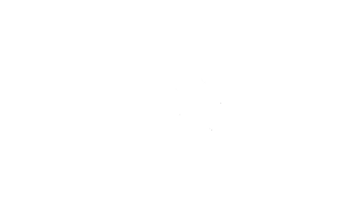 Cc1ccc[c]c1Cn1cnc2c(N)ncnc21